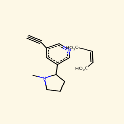 C#Cc1cncc(C2CCCN2C)c1.O=C(O)/C=C\C(=O)O